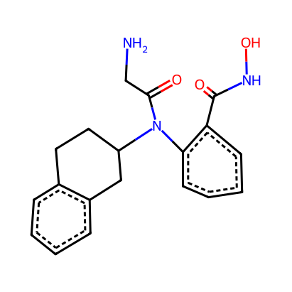 NCC(=O)N(c1ccccc1C(=O)NO)C1CCc2ccccc2C1